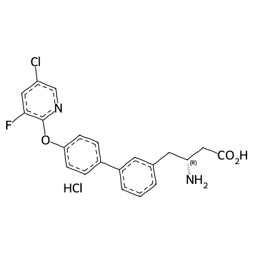 Cl.N[C@@H](CC(=O)O)Cc1cccc(-c2ccc(Oc3ncc(Cl)cc3F)cc2)c1